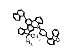 CC1(C)c2ccccc2-c2ccc(N(c3ccc(-c4cccc5oc6ccccc6c45)cc3)c3ccccc3-c3cccc(-c4cccc5ccccc45)c3)cc21